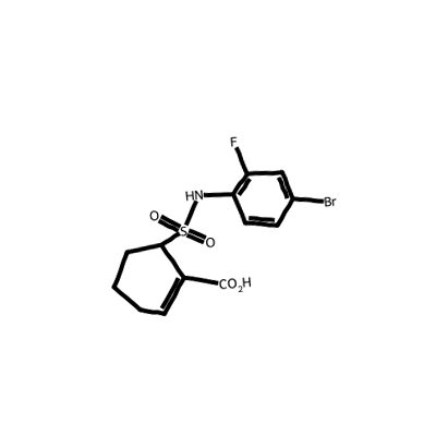 O=C(O)C1=CCCCC1S(=O)(=O)Nc1ccc(Br)cc1F